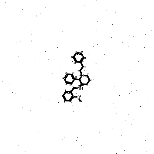 COc1ccccc1CNC1CCCN(CCc2ccccc2)C1c1ccccc1